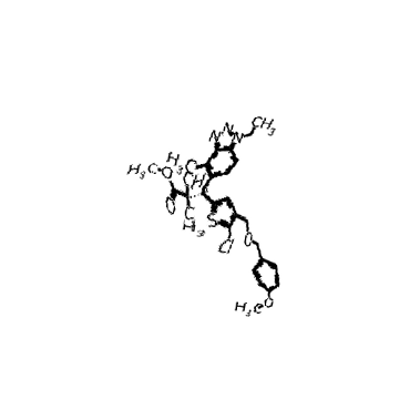 CCn1nnc2c(C)c([C@H](c3cc(COCc4ccc(OC)cc4)c(Cl)s3)C(C)(C)C(=O)OC)ccc21